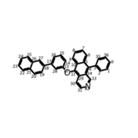 c1ccc(-c2c3ccccc3c(Oc3cccc(-c4ccc5ccccc5c4)c3)c3ccncc23)cc1